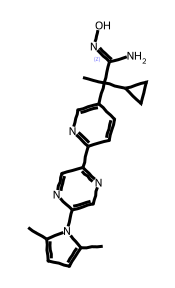 Cc1ccc(C)n1-c1cnc(-c2ccc(C(C)(/C(N)=N/O)C3CC3)cn2)cn1